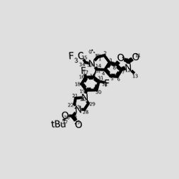 C[C@@H]1Cc2c(ccc3c2oc(=O)n3C)[C@@H](c2c(F)cc(N3CCN(C(=O)OC(C)(C)C)CC3)cc2F)N1CC(F)(F)F